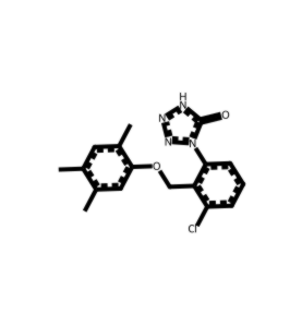 Cc1cc(C)c(OCc2c(Cl)cccc2-n2nn[nH]c2=O)cc1C